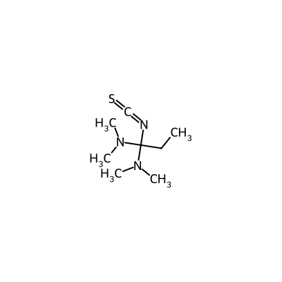 CCC(N=C=S)(N(C)C)N(C)C